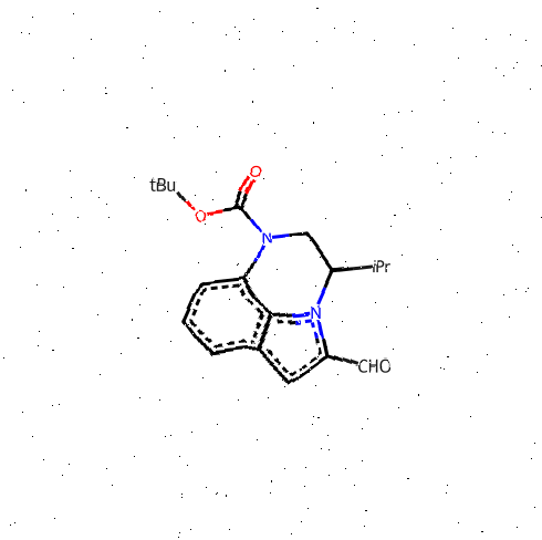 CC(C)C1CN(C(=O)OC(C)(C)C)c2cccc3cc(C=O)n1c23